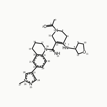 CC(=O)N1CCC(NC2CCOC2)=C(C(=N)N2CCCc3cc(-c4cnn(C)c4)ccc32)C1